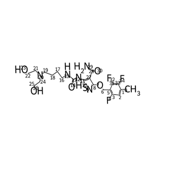 Cc1cc(F)c(COc2nsc(NC(=O)NCCCCN(CCO)CCO)c2C(N)=O)c(F)c1F